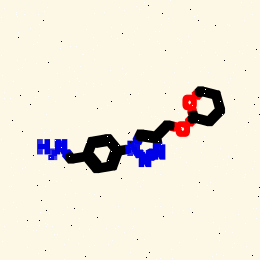 NCc1ccc(-n2cc(COC3CCCCO3)nn2)cc1